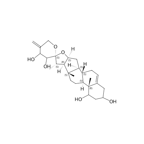 C=C1CO[C@@]2(O[C@H]3C[C@H]4[C@@H]5CC=C6CC(O)CC(O)[C@]6(C)[C@H]5CC[C@]4(C)[C@H]3[C@@H]2C)C(O)C1O